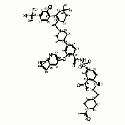 CC(=O)N1CCC(CCNc2ccc(S(=O)(=O)NC(=O)c3ccc(N4CCN(CC5=C(c6ccc(C(F)(F)F)cc6Cl)CC(C)(C)CC5)CC4)cc3Oc3cnc4[nH]ccc4c3)cc2[N+](=O)[O-])CC1